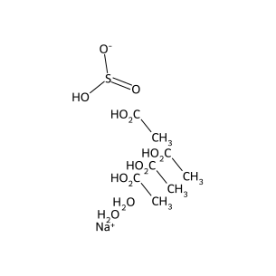 CC(=O)O.CC(=O)O.CC(=O)O.CC(=O)O.O.O.O=S([O-])O.[Na+]